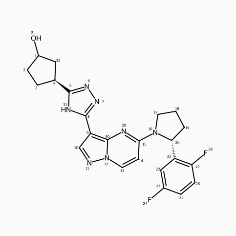 OC1CC[C@H](c2nnc(-c3cnn4ccc(N5CCC[C@@H]5c5cc(F)ccc5F)nc34)[nH]2)C1